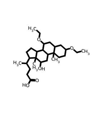 CCOC1CCC2(C)C(C1)CC(OCC)C1C2CC(O)C2(C)C(C(C)CCC(=O)O)CCC12